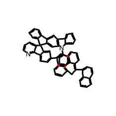 C1=CC2=C(c3cccc4ccccc34)Cc3cccc4c3C2C(=C1)C=C4c1ccc2c(c1)C1(c3ccccc3-c3cc4c5ccccc5n(-c5ccccc5)c4cc31)c1cccnc1-2